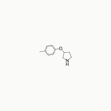 Cc1ccc(OC2CCNC2)cc1